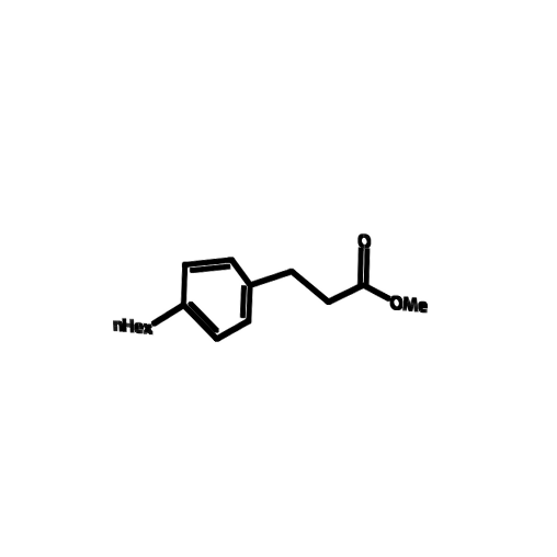 CCCCCCc1ccc(CCC(=O)OC)cc1